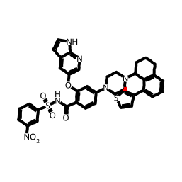 O=C(NS(=O)(=O)c1cccc([N+](=O)[O-])c1)c1ccc(N2CCN(C3CCCc4cccc(-c5ccsc5)c43)CC2)cc1Oc1cnc2[nH]ccc2c1